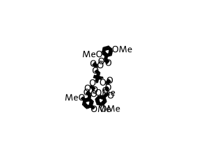 COc1ccc(OC)c(C(=O)OOC(=O)OCC(C)(COC(=O)OOC(=O)c2cc(OC)ccc2OC)COC(=O)OOC(=O)c2cc(OC)ccc2OC)c1